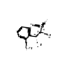 COc1ccccc1[C@@H](O)[C@H](C)[SH](=O)=O